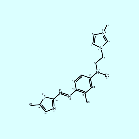 CCN(CCn1cc[n+](C)c1)c1ccc(/N=N/c2ncc(C)s2)c(C)c1